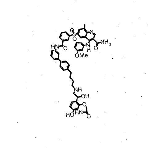 COc1cccc(Nc2c(C(N)=O)cnc3c(C)cc(S(=O)(=O)c4cccc(C(=O)Nc5cccc(-c6ccc(CCCCNCC(O)c7ccc(O)c8c7OCC(=O)N8)cc6)c5)c4)cc23)c1